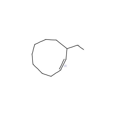 C[CH]C1/C=C\CCCCCCC1